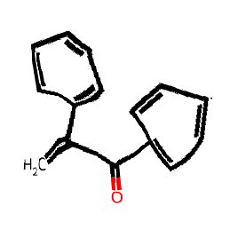 C=C(C(=O)c1cc[c]cc1)c1ccccc1